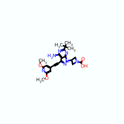 COc1cc(C#Cc2nn(C3CN(C(=O)O)C3)c3nc(C(C)(C)C)nc(N)c23)cc(OC)n1